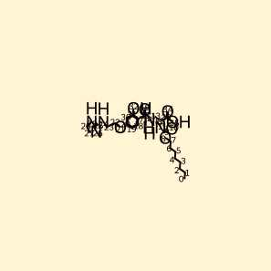 CCCCCCCCOC(=O)N[C@@H](CNC(=O)c1ccc(OCCNC2=NCCN2)cc1O)C(=O)O